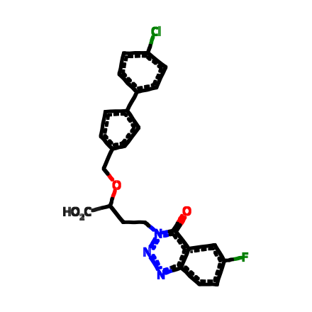 O=C(O)C(CCn1nnc2ccc(F)cc2c1=O)OCc1ccc(-c2ccc(Cl)cc2)cc1